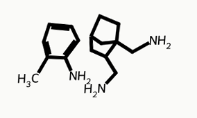 Cc1ccccc1N.NCC1CC2CCC1(CN)C2